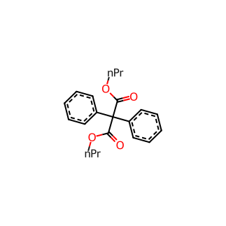 CCCOC(=O)C(C(=O)OCCC)(c1ccccc1)c1ccccc1